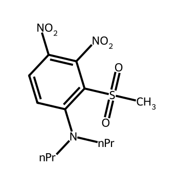 CCCN(CCC)c1ccc([N+](=O)[O-])c([N+](=O)[O-])c1S(C)(=O)=O